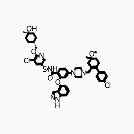 COC1(C)CCC(c2ccc(Cl)cc2)=C(CN2CCN(c3ccc(C(=O)NSc4cnc(OC[C@H]5CC[C@@](C)(O)CC5)c(Cl)c4)c(Oc4cccc5[nH]ncc45)c3)CC2)C1